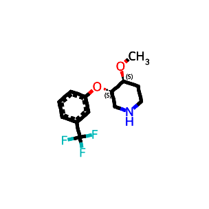 CO[C@H]1CCNC[C@@H]1Oc1cccc(C(F)(F)F)c1